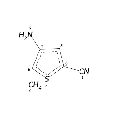 C.N#Cc1cc(N)cs1